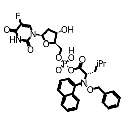 CC(C)C[C@@H](C(=O)OP(=O)(O)OC[C@H]1O[C@@H](n2cc(F)c(=O)[nH]c2=O)C[C@@H]1O)N(OCc1ccccc1)c1cccc2ccccc12